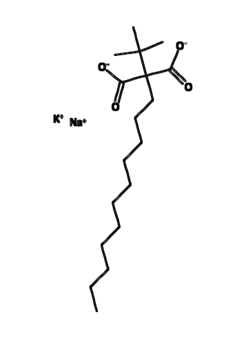 CCCCCCCCCCCC(C(=O)[O-])(C(=O)[O-])C(C)(C)C.[K+].[Na+]